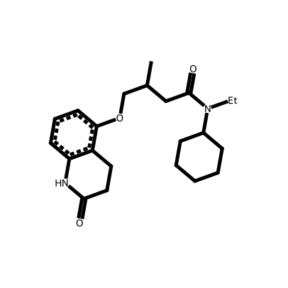 CCN(C(=O)CC(C)COc1cccc2c1CCC(=O)N2)C1CCCCC1